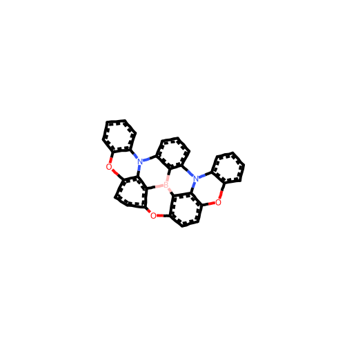 c1ccc2c(c1)Oc1ccc3c4c1N2c1cccc2c1B4c1c(ccc4c1N2c1ccccc1O4)O3